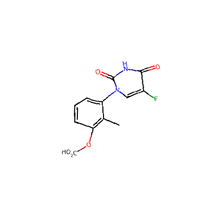 Cc1c(OC(=O)O)cccc1-n1cc(F)c(=O)[nH]c1=O